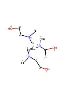 CCCCN(CCCC)C(C)O.CCN(CC)CCO.CN(C)CCO